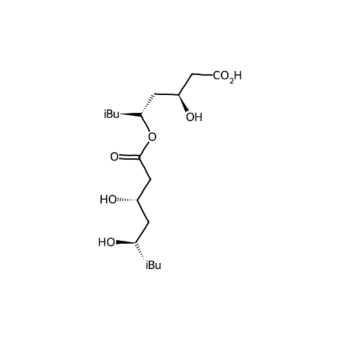 CC[C@H](C)[C@H](C[C@H](O)CC(=O)O)OC(=O)C[C@@H](O)C[C@H](O)[C@@H](C)CC